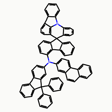 c1ccc(C2(c3ccccc3)c3ccccc3-c3ccc(N(c4ccc5c(ccc6ccccc65)c4)c4cccc5c4-c4ccccc4C54c5ccccc5-n5c6ccccc6c6cccc4c65)cc32)cc1